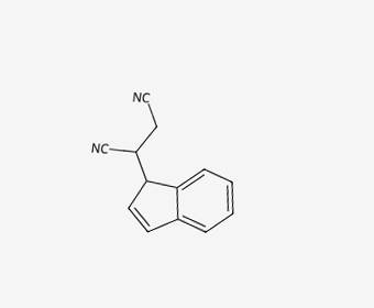 N#CCC(C#N)C1C=Cc2ccccc21